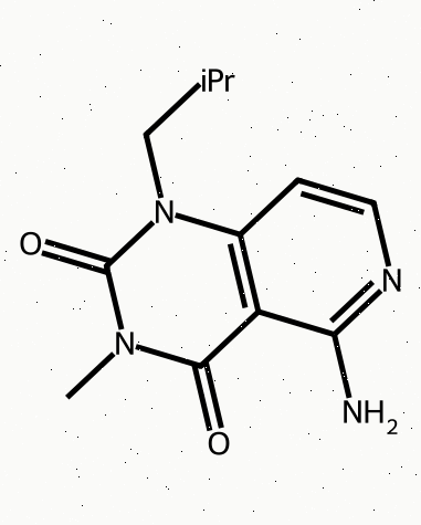 CC(C)Cn1c(=O)n(C)c(=O)c2c(N)nccc21